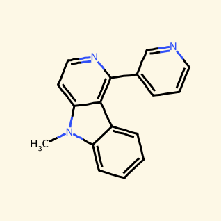 Cn1c2ccccc2c2c(-c3cccnc3)nccc21